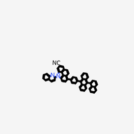 N#Cc1cc2ccc3c(-c4ccc(-c5c6ccccc6c(-c6cccc7ccccc67)c6ccccc56)cc4)ccc4c3c2c(c1)n4-c1ccc2ccccc2n1